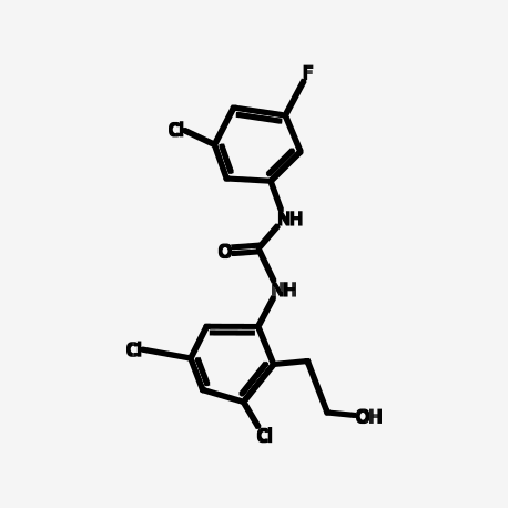 O=C(Nc1cc(F)cc(Cl)c1)Nc1cc(Cl)cc(Cl)c1CCO